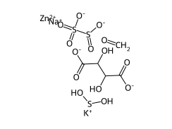 C=O.O=C([O-])C(O)C(O)C(=O)[O-].O=S([O-])S(=O)(=O)[O-].OSO.[K+].[Na+].[Zn+2]